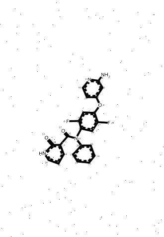 Nc1cc(Oc2cc(F)c(N(C(=O)c3ccc[nH]c3=O)c3ccccc3)cc2F)ccn1